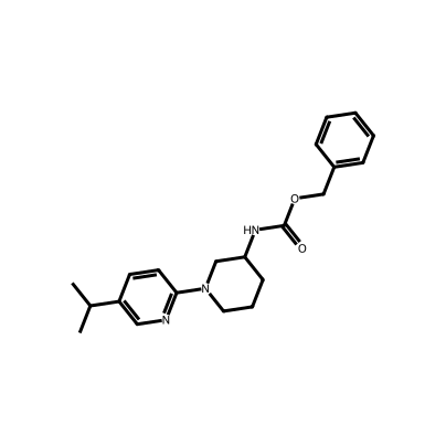 CC(C)c1ccc(N2CCCC(NC(=O)OCc3ccccc3)C2)nc1